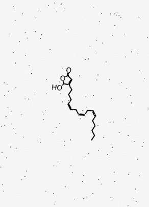 CCCCC/C=C\C/C=C\C/C=C\CCCC1=CC(=O)OC1O